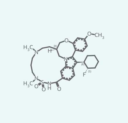 COc1ccc2c(c1)OC[C@@H]1CCN(C)CCCN(C)S(=O)(=O)NC(=O)c3ccc4c([C@H]5CCCC[C@@H]5F)c-2n(c4c3)C1